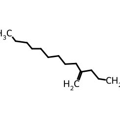 [CH2]CCC(=C)CCCCCCCCC